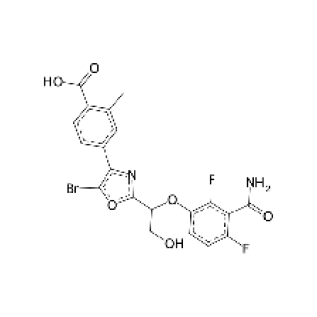 Cc1cc(-c2nc(C(CO)Oc3ccc(F)c(C(N)=O)c3F)oc2Br)ccc1C(=O)O